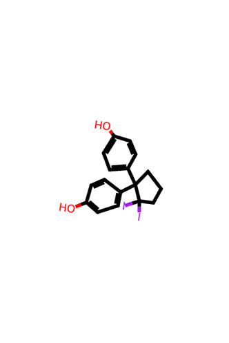 Oc1ccc(C2(c3ccc(O)cc3)CCCC2(I)I)cc1